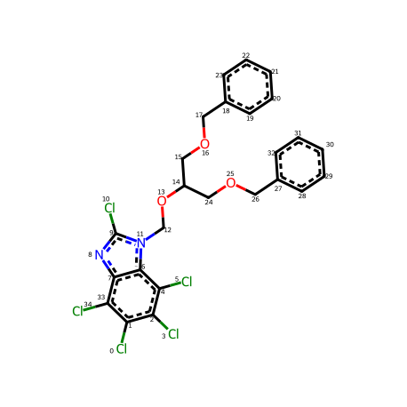 Clc1c(Cl)c(Cl)c2c(nc(Cl)n2COC(COCc2ccccc2)COCc2ccccc2)c1Cl